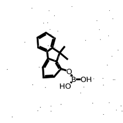 CC1(C)c2ccccc2-c2cccc(OB(O)O)c21